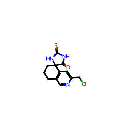 O=C1NC(=S)NC12CCCc1cnc(CCl)cc12